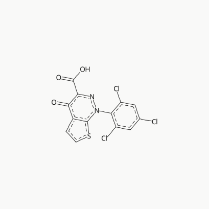 O=C(O)c1nn(-c2c(Cl)cc(Cl)cc2Cl)c2sccc2c1=O